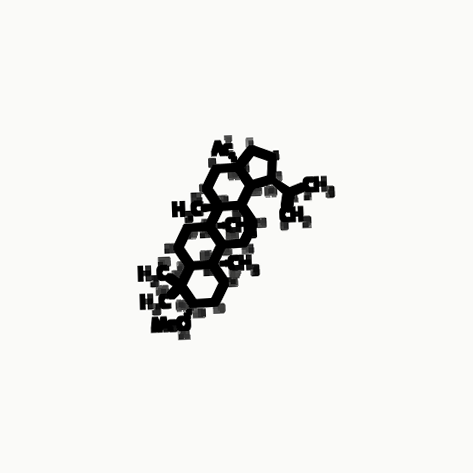 C=C(C)[C@@H]1CC[C@]2(C(C)=O)CC[C@]3(C)C(CCC4[C@@]5(C)CC[C@H](OC)C(C)(C)C5CC[C@]43C)C12